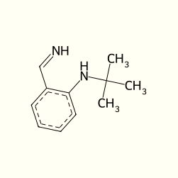 CC(C)(C)Nc1ccccc1C=N